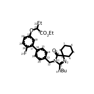 CCCCC1=NC2(CCCCC2)C(=O)N1Cc1ccc(-c2cc(OC(CC)C(=O)OCC)ccc2F)cc1